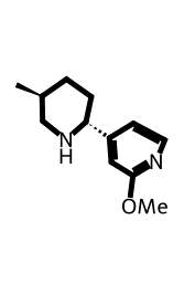 COc1cc([C@H]2CC[C@H](C)CN2)ccn1